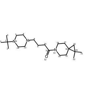 CC(C)(C)N1CCN(CCCC(=O)N2CCC3(CC2)CC3(C)C)CC1